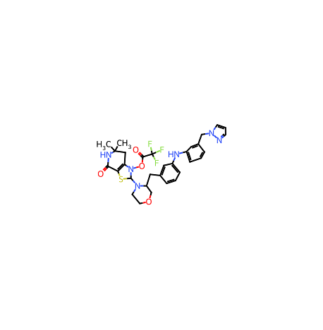 CC1(C)CC2=C(SC(N3CCOCC3Cc3cccc(Nc4cccc(Cn5cccn5)c4)c3)N2OC(=O)C(F)(F)F)C(=O)N1